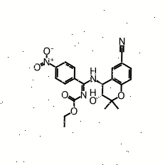 CCOC(=O)/N=C(/N[C@H]1c2cc(C#N)ccc2OC(C)(C)[C@@H]1O)c1ccc([N+](=O)[O-])cc1